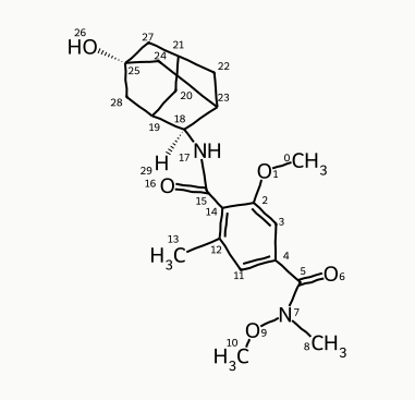 COc1cc(C(=O)N(C)OC)cc(C)c1C(=O)N[C@H]1C2CC3CC1C[C@](O)(C3)C2